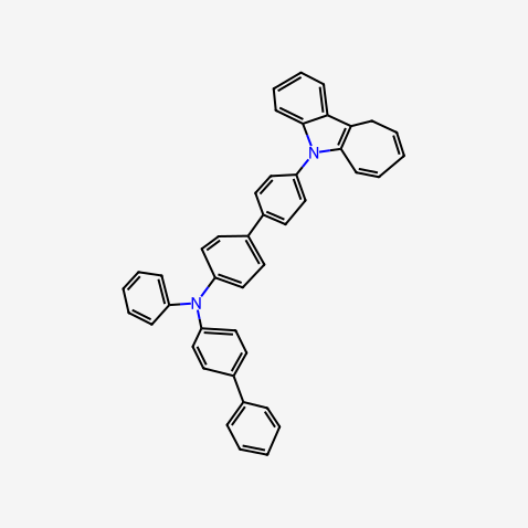 C1=CCc2c(n(-c3ccc(-c4ccc(N(c5ccccc5)c5ccc(-c6ccccc6)cc5)cc4)cc3)c3ccccc23)C=C1